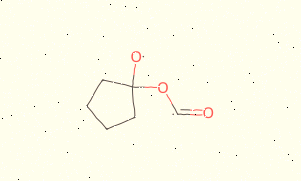 [O]C1(O[C]=O)CCCC1